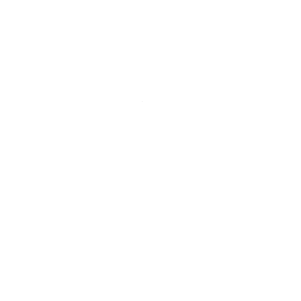 CC(c1ccccc1)C(C)(C)OC(=O)c1ccccc1C(C)(C)C